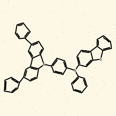 c1ccc(-c2ccc3c(c2)c2cc(-c4ccccc4)ccc2n3-c2ccc(N(c3ccccc3)c3ccc4c(c3)sc3ccccc34)cc2)cc1